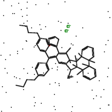 CCCCc1ccc(C(=C2C=C3[CH]([Zr+2])C4(C)C5(C)C=CC=CC5(C)C5(C)C=CC=CC5(C)C4(C)C3(C)C(C)=C2C2=CC=CC2)c2ccc(CCCC)cc2)cc1.[Cl-].[Cl-]